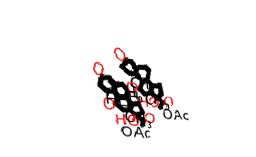 CC(=O)OCC(=O)[C@@]1(O)CCC2C3CCC4=CC(=O)CC[C@]4(C)C3C(=O)C[C@@]21C.CC(=O)OCC(=O)[C@@]1(O)CC[C@H]2[C@@H]3CCC4=CC(=O)CC[C@]4(C)[C@H]3C(=O)C[C@@]21C